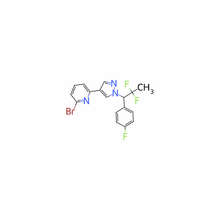 CC(F)(F)C(c1ccc(F)cc1)n1cc(-c2cccc(Br)n2)cn1